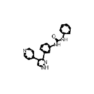 O=C(Nc1ccccc1)Nc1cccc(-c2n[nH]cc2-c2ccncc2)c1